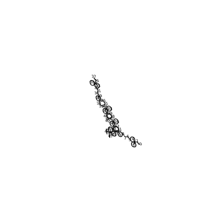 C=CC(=O)OCCCCOc1ccc(OC(=O)c2ccc(OC(=O)C3CCC(OCCCCOC(=O)C=C)CC3)cc2C)c2c1OC(F)(F)O2